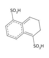 O=S(=O)(O)C1=c2cccc(S(=O)(=O)O)c2=CCC1